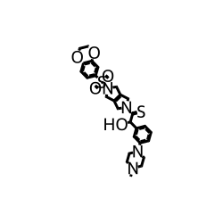 CN1CCN(c2cccc(C(O)C(=S)N3CC4=C(C3)CN(S(=O)(=O)c3ccc5c(c3)OCCO5)C4)c2)CC1